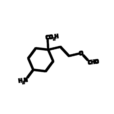 NC1CCC(CCOC=O)(C(=O)O)CC1